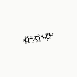 Fc1ccc(/C=C/c2ccc(NCc3ccncc3)cc2)cn1